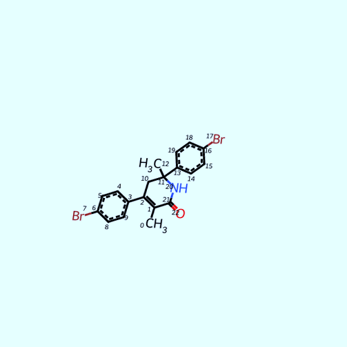 CC1=C(c2ccc(Br)cc2)CC(C)(c2ccc(Br)cc2)NC1=O